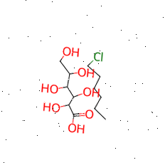 CCCCCCCl.O=C(O)C(O)C(O)C(O)C(O)CO